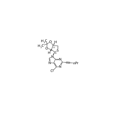 CCCC#Cc1nc(Cl)c2ncn([C@@H]3SC[C@H]4OC(C)(C)O[C@@H]34)c2n1